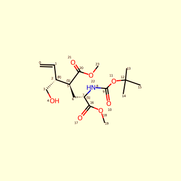 C=C[C@@H](CO)[C@H](C[C@H](NC(=O)OC(C)(C)C)C(=O)OC)C(=O)OC